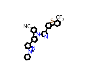 N#Cc1ccc2c(c1)c1cc(-c3cccc4c3ncn4-c3ccccc3)ccc1n2-c1cncc(-c2ccc3sc4c(C(F)(F)F)cccc4c3c2)c1